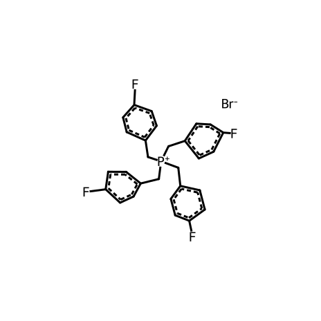 Fc1ccc(C[P+](Cc2ccc(F)cc2)(Cc2ccc(F)cc2)Cc2ccc(F)cc2)cc1.[Br-]